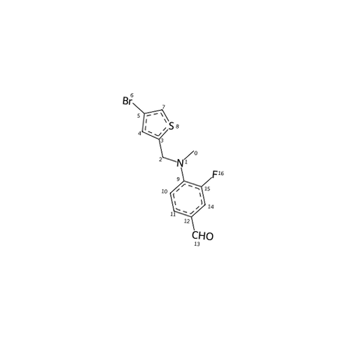 CN(Cc1cc(Br)cs1)c1ccc(C=O)cc1F